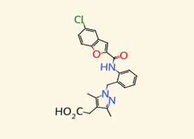 Cc1nn(Cc2ccccc2NC(=O)c2cc3cc(Cl)ccc3o2)c(C)c1CC(=O)O